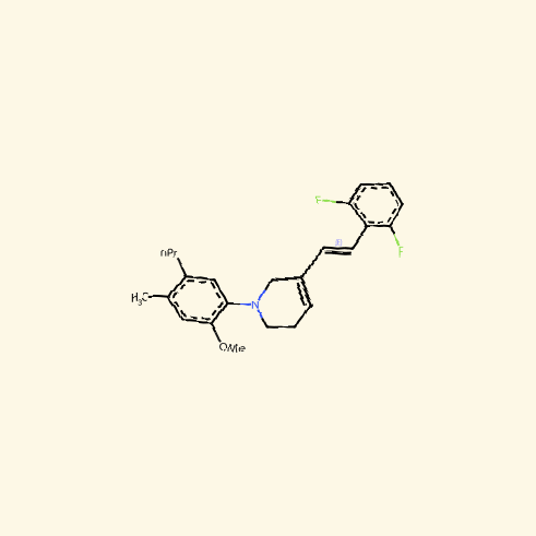 CCCc1cc(N2CCC=C(/C=C/c3c(F)cccc3F)C2)c(OC)cc1C